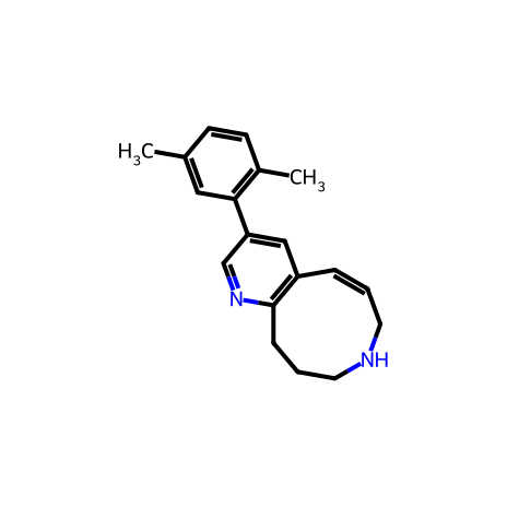 Cc1ccc(C)c(-c2cnc3c(c2)/C=C\CNCCC3)c1